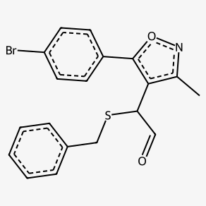 Cc1noc(-c2ccc(Br)cc2)c1C(C=O)SCc1ccccc1